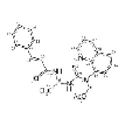 CC(=O)OCN(C(=S)NC(NC(=O)/C=C/c1ccccc1)C(Cl)(Cl)Cl)c1cccc2cccnc12